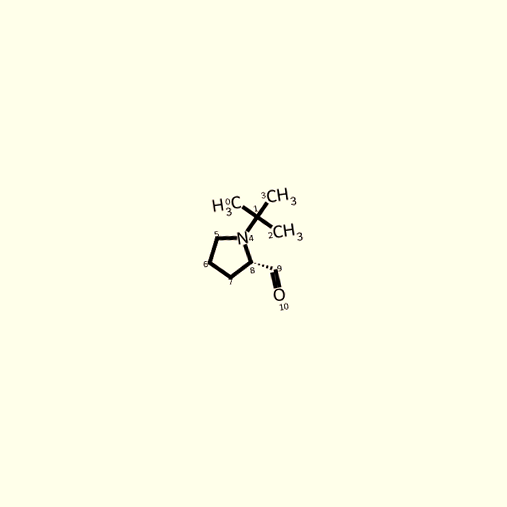 CC(C)(C)N1CCC[C@H]1C=O